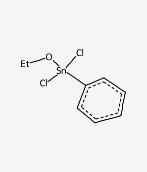 CC[O][Sn]([Cl])([Cl])[c]1ccccc1